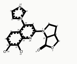 O=C1OCC2CCN(c3cc(-n4ccnc4)c4ccc(Cl)c(Cl)c4n3)C12